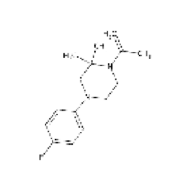 C=C(C)N1CCN(c2ccc(F)cc2)CC1(C)C